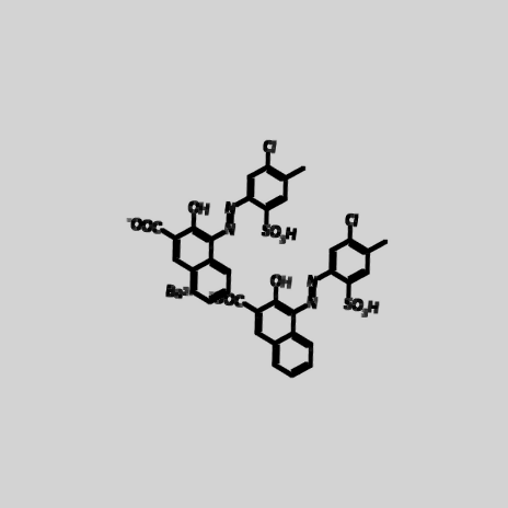 Cc1cc(S(=O)(=O)O)c(N=Nc2c(O)c(C(=O)[O-])cc3ccccc23)cc1Cl.Cc1cc(S(=O)(=O)O)c(N=Nc2c(O)c(C(=O)[O-])cc3ccccc23)cc1Cl.[Ba+2]